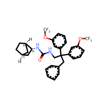 O=C(NCC(Cc1ccccc1)(c1cccc(OC(F)(F)F)c1)c1cccc(OC(F)(F)F)c1)N[C@@H]1C[C@H]2CC[C@@H]1C2